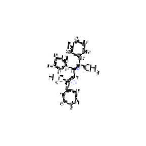 C/C(=C(\C=C(/C)c1cccnc1)c1ccco1)c1cccnc1